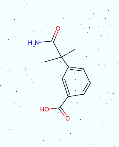 CC(C)(C(N)=O)c1cccc(C(=O)O)c1